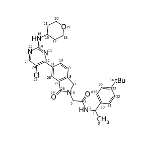 CC(NC(=O)CN1Cc2ccc(-c3nc(NC4CCOCC4)ncc3Cl)cc2C1=O)c1ccc(C(C)(C)C)cc1